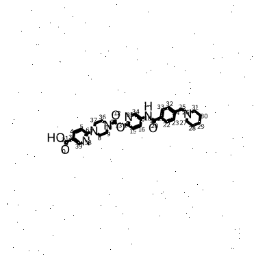 O=C(O)c1ccc(N2CCN(C(=O)Oc3ccc(NC(=O)c4ccc(CN5CCCCC5)cc4)cn3)CC2)nc1